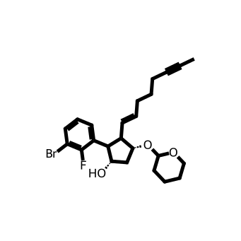 CC#CCCC/C=C/C1C(c2cccc(Br)c2F)[C@@H](O)C[C@H]1OC1CCCCO1